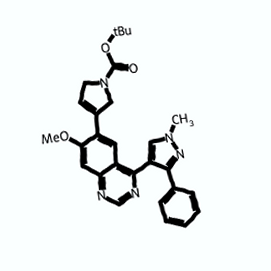 COc1cc2ncnc(-c3cn(C)nc3-c3ccccc3)c2cc1C1=CCN(C(=O)OC(C)(C)C)C1